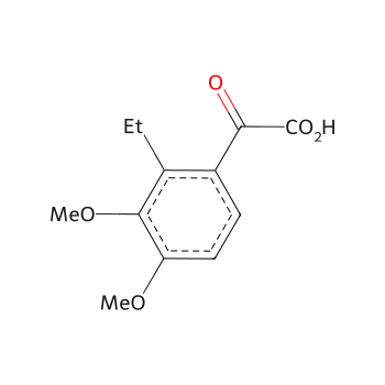 CCc1c(C(=O)C(=O)O)ccc(OC)c1OC